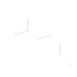 C/C(F)=C\C=C/CF